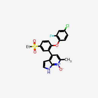 CCS(=O)(=O)c1ccc(Oc2ccc(Cl)cc2F)c(-c2cc(C)[n+]([O-])c3[nH]ccc23)c1